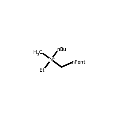 [CH2]CCCCC[N+](C)(CC)CCCC